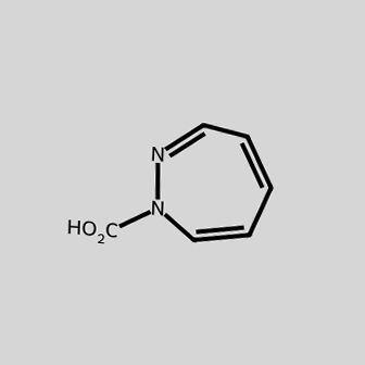 O=C(O)N1C=CC=CC=N1